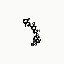 CCO[C@@H]1CO[C@H]2[C@@H]1OC[C@H]2Oc1nc2nc(NCc3c(F)cccc3F)c(Cl)cc2[nH]1